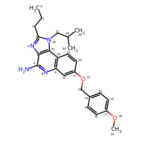 CCCc1nc2c(N)nc3cc(OCc4ccc(OC)cc4)ccc3c2n1CC(C)C